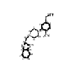 CC(C)Cc1ccc(C#N)c(N2CCN(Cc3nc4ccccc4s3)CC2)c1